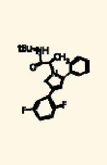 CC(C(=O)NC(C)(C)C)N1CC(c2cc(F)ccc2F)=C[C@H]1c1ccccc1